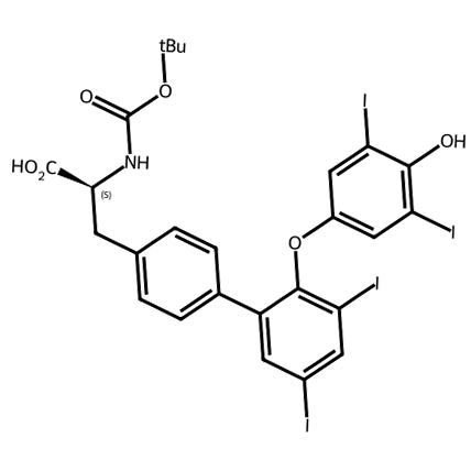 CC(C)(C)OC(=O)N[C@@H](Cc1ccc(-c2cc(I)cc(I)c2Oc2cc(I)c(O)c(I)c2)cc1)C(=O)O